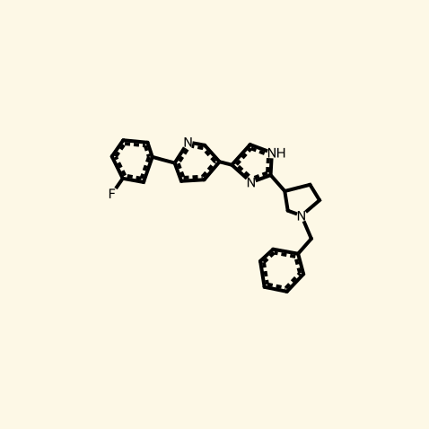 Fc1cccc(-c2ccc(-c3c[nH]c(C4CCN(Cc5ccccc5)C4)n3)cn2)c1